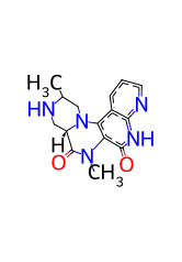 CC1CN2c3c(c(=O)[nH]c4ncccc34)N(C)C(=O)[C@@H]2CN1